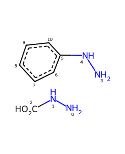 NNC(=O)O.NNc1ccccc1